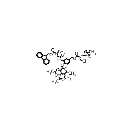 CC(=O)O[C@H]1[C@H](Oc2ccc(COC(=O)N(CCl)CCS(C)(=O)=O)cc2NC(=O)CN(C)C(=O)OCC2c3ccccc3-c3ccccc32)O[C@H](C)[C@@H](C)[C@@H]1OC(C)=O